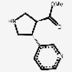 COC(=O)[C@@H]1CNC[C@H]1c1cccnc1